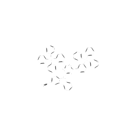 N#Cc1ccc2c(c1)c1ccccc1n2-c1nc(-c2cccc(S(c3ccccc3)(c3ccccc3)c3ccccc3)c2)nc(-c2cccc(S(c3ccccc3)(c3ccccc3)c3ccccc3)c2)n1